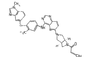 C=CC(=O)N1C[C@H]2CN(c3ccc4ncnc(Nc5ccc(Oc6ccc7c(c6)ncn7C)c(C)c5)c4n3)C[C@H]21